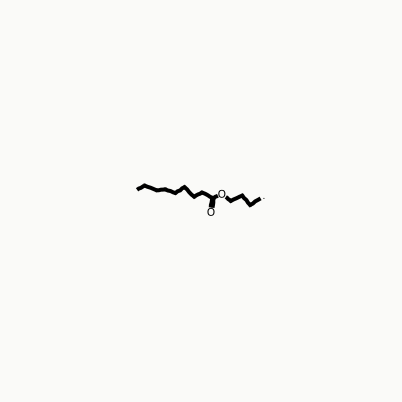 [CH2]CCCOC(=O)CCCCCCCC